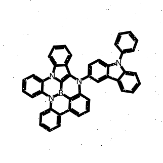 c1ccc(-n2c3ccccc3c3cc(N4c5cccc6c5B5c7c4c4ccccc4n7-c4ccccc4N5c4ccccc4-6)ccc32)cc1